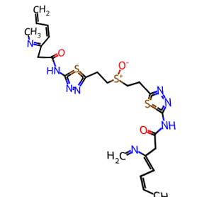 C=C/C=C\C(CC(=O)Nc1nnc(CC[S+]([O-])CCc2nnc(NC(=O)C/C(=C/C=C\C)N=C)s2)s1)=N/C